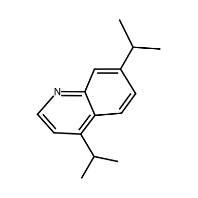 CC(C)c1ccc2c(C(C)C)ccnc2c1